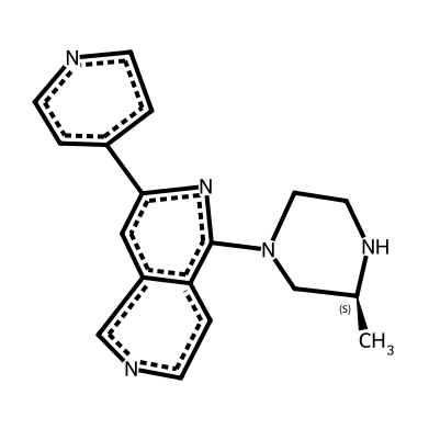 C[C@H]1CN(c2nc(-c3ccncc3)cc3cnccc23)CCN1